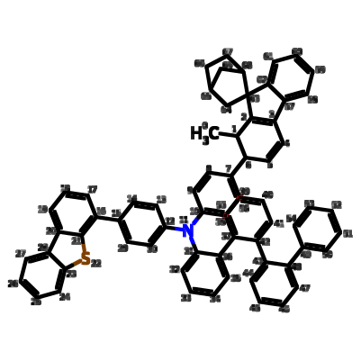 CC1C2=C(C=CC1c1ccc(N(c3ccc(-c4cccc5c4sc4ccccc45)cc3)c3ccccc3-c3ccccc3-c3ccccc3-c3ccccc3)cc1)c1ccccc1C21CC2CCC1C2